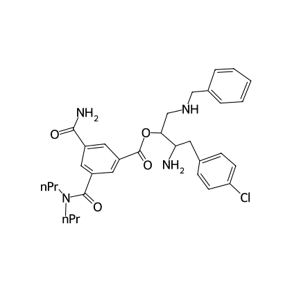 CCCN(CCC)C(=O)c1cc(C(N)=O)cc(C(=O)OC(CNCc2ccccc2)C(N)Cc2ccc(Cl)cc2)c1